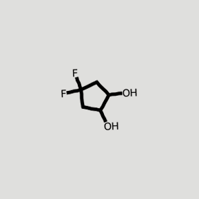 OC1CC(F)(F)CC1O